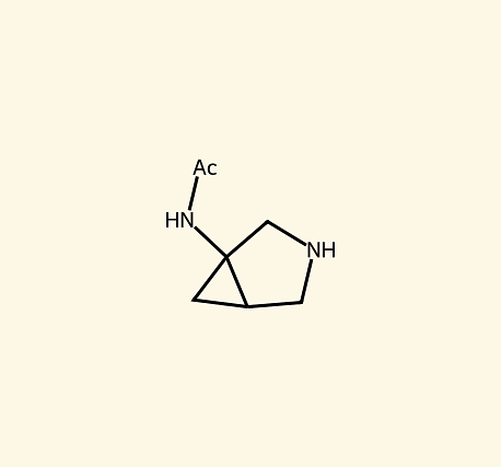 CC(=O)NC12CNCC1C2